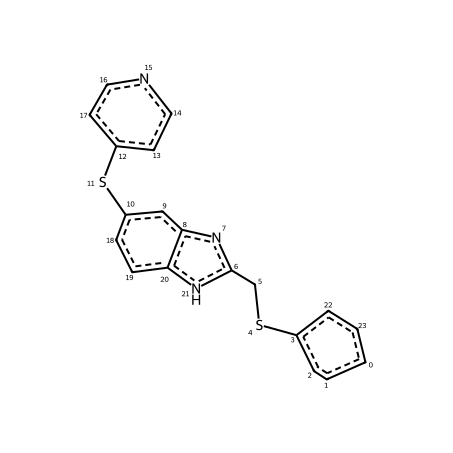 c1ccc(SCc2nc3cc(Sc4ccncc4)ccc3[nH]2)cc1